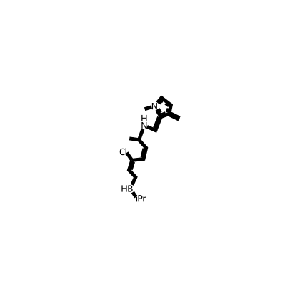 C=c1ccn(C)/c1=C\NC(C)/C=C\C(Cl)=C/CBC(C)C